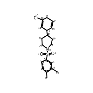 Cc1ccc(S(=O)(=O)N2CCC(C3C=CCC(Cl)=C3)CC2)cc1C